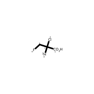 [2H]C(Cl)(CF)C(=O)O